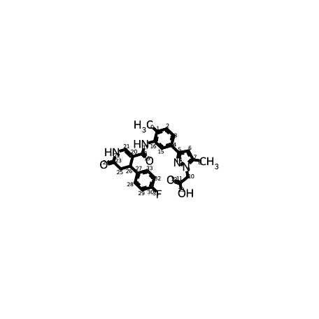 Cc1ccc(-c2cc(C)n(CC(=O)O)n2)cc1NC(=O)C1=CNC(=O)CC1c1ccc(F)cc1